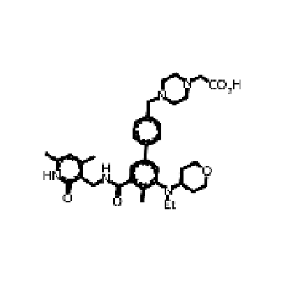 CCN(c1cc(-c2ccc(CN3CCN(CC(=O)O)CC3)cc2)cc(C(=O)NCc2c(C)cc(C)[nH]c2=O)c1C)C1CCOCC1